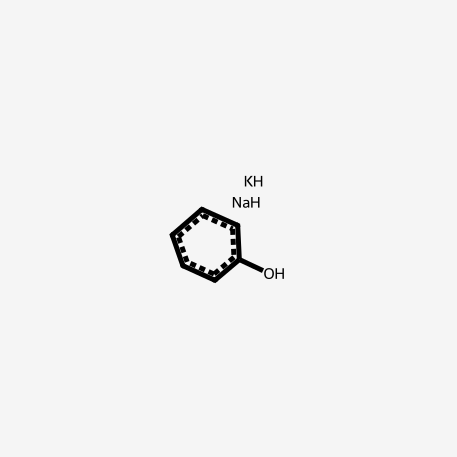 Oc1ccccc1.[KH].[NaH]